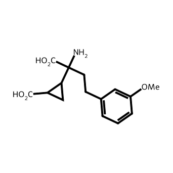 COc1cccc(CCC(N)(C(=O)O)C2CC2C(=O)O)c1